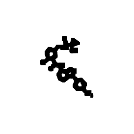 O=C(Nc1cccc2c1cnn2-c1ccc(C(F)(F)F)cc1)c1cc(CNC(=O)C2(O)CC2)ccc1Cl